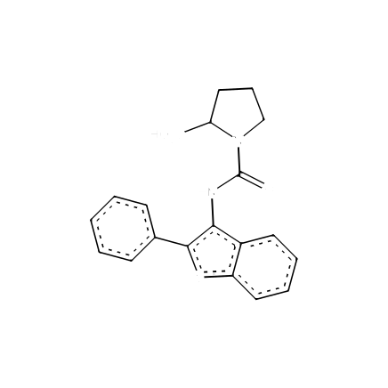 O=C(O)C1CCCN1C(=O)Nc1c(-c2ccccc2)sc2ccccc12